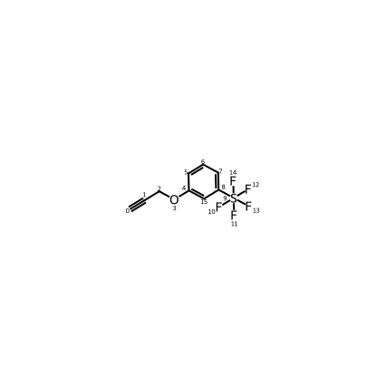 C#CCOc1cccc(S(F)(F)(F)(F)F)c1